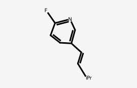 CC(C)/C=C/c1ccc(F)nc1